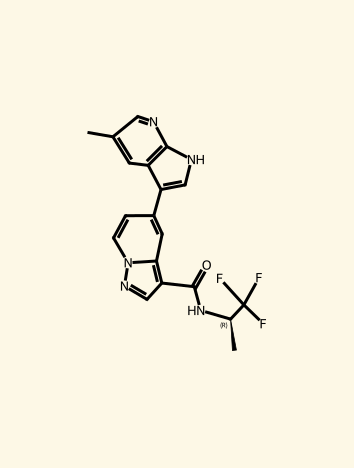 Cc1cnc2[nH]cc(-c3ccn4ncc(C(=O)N[C@H](C)C(F)(F)F)c4c3)c2c1